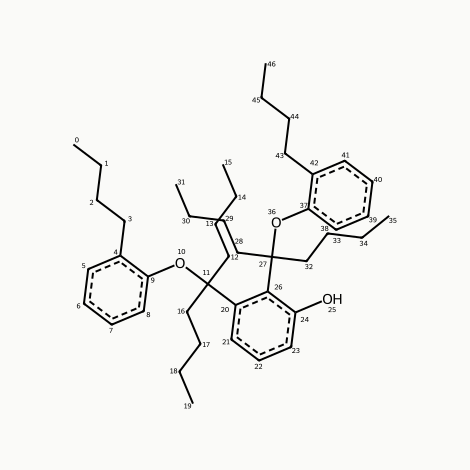 CCCCc1ccccc1OC(CCCC)(CCCC)c1cccc(O)c1C(CCCC)(CCCC)Oc1ccccc1CCCC